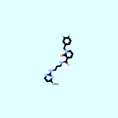 COc1ccnc(NCCCNC(=O)c2cccn(Cc3ccc(F)c(F)c3)c2=O)n1